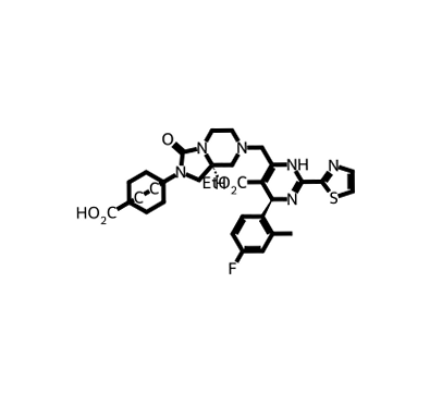 CCOC(=O)C1=C(CN2CCN3C(=O)N(C45CCC(C(=O)O)(CC4)CC5)C[C@@H]3C2)NC(c2nccs2)=N[C@H]1c1ccc(F)cc1C